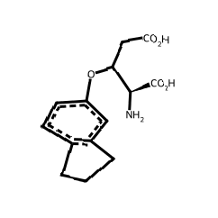 N[C@H](C(=O)O)C(CC(=O)O)Oc1ccc2c(c1)CCC2